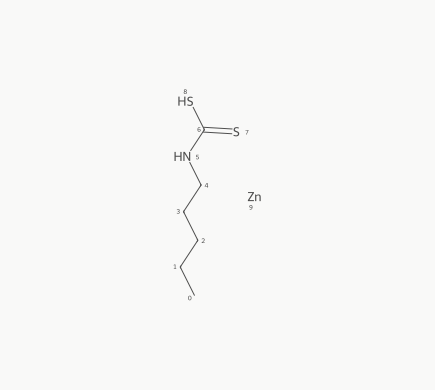 CCCCCNC(=S)S.[Zn]